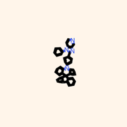 c1ccc(-n2c(-c3ccc(N4c5ccccc5C5(c6ccccc6-c6ccccc65)c5ccccc54)cc3)nc3cnccc32)cc1